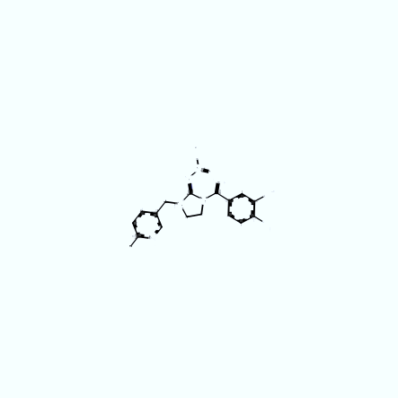 C=C(c1ccc(Cl)c(Cl)c1)N1CCN(Cc2ccc(Cl)nc2)/C1=N/[N+](=O)[O-]